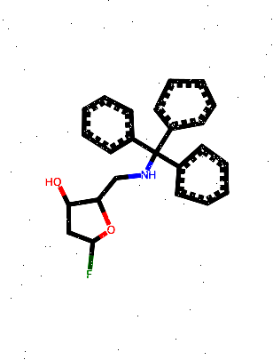 OC1CC(F)OC1CNC(c1ccccc1)(c1ccccc1)c1ccccc1